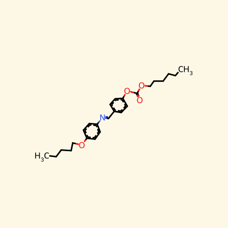 CCCCCCOC(=O)Oc1ccc(/C=N/c2ccc(OCCCCC)cc2)cc1